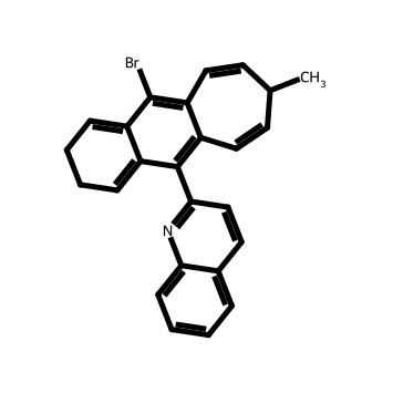 CC1C=Cc2c(c(-c3ccc4ccccc4n3)c3c(c2Br)=CCCC=3)C=C1